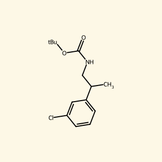 CC(CNC(=O)OC(C)(C)C)c1cccc(Cl)c1